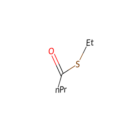 [CH2]CSC(=O)CCC